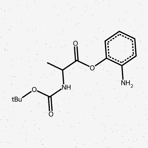 CC(NC(=O)OC(C)(C)C)C(=O)Oc1ccccc1N